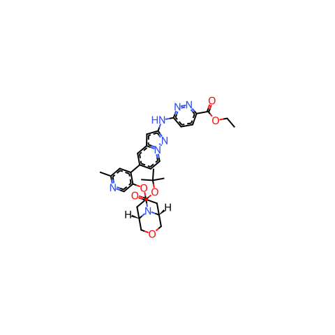 CCOC(=O)c1ccc(Nc2cc3cc(-c4cc(C)ncc4OC4C[C@H]5COC[C@@H](C4)N5C(=O)OC(C)(C)C)ccn3n2)nn1